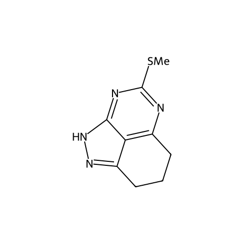 CSc1nc2c3c(n[nH]c3n1)CCC2